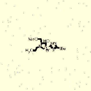 C=CCN1C[N+]([O-])(c2nnc(C(C)(C)C)s2)C(O)C1COC